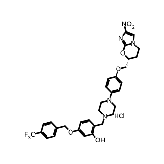 Cl.O=[N+]([O-])c1cn2c(n1)O[C@@H](COc1ccc(N3CCN(Cc4ccc(OCc5ccc(C(F)(F)F)cc5)cc4O)CC3)cc1)CC2